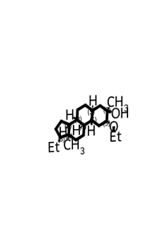 CCO[C@H]1C[C@H]2[C@@H](CC[C@@H]3[C@@H]2CC[C@]2(C)[C@@H](CC)CC[C@@H]32)C[C@]1(C)O